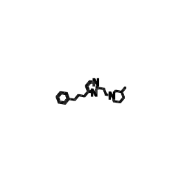 CC1CCCN(CCc2nccc(CCCc3ccccc3)n2)C1